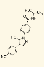 C[C@@H](NC(=O)c1ccc(-n2ncc(-c3ccc(C#N)cc3)c2O)nc1)C(F)(F)F